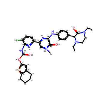 CCN1CCN(CC)C(c2ccc(Nc3nc(-c4ccc(F)c(NC(=O)Oc5cc6c(s5)CCCC6)n4)cn(C)c3=O)cc2)C1=O